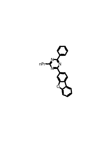 CCCc1nc(-c2ccccc2)nc(-c2ccc3c(c2)oc2ccccc23)n1